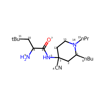 CCCCC1CC(C#N)(NC(=O)C(N)CC(C)(C)C)CCN1CCC